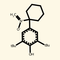 C=[N+]([O-])C1(c2cc(C(C)(C)C)c(O)c(C(C)(C)C)c2)CCCCC1